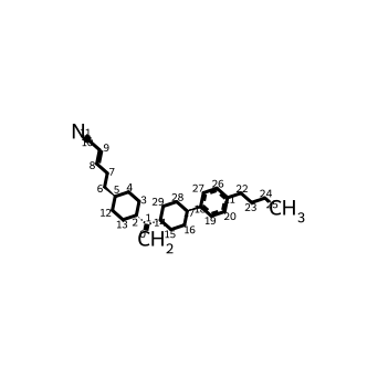 C=C([C@H]1CC[C@H](CC/C=C/C#N)CC1)[C@H]1CC[C@H](c2ccc(CCCC)cc2)CC1